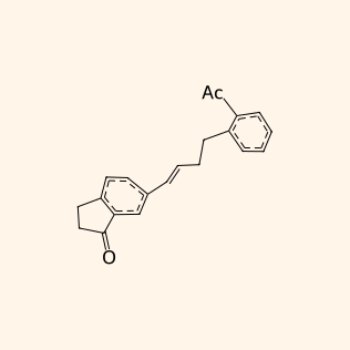 CC(=O)c1ccccc1CC/C=C/c1ccc2c(c1)C(=O)CC2